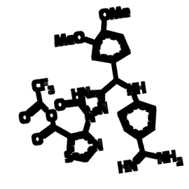 COc1ccc(C(Nc2ccc(C(=N)N)cc2)c2nn(-c3ncsc3C(=O)OC(=O)C(F)(F)F)c(=O)[nH]2)cc1OC